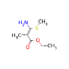 CCOC(=O)C(C)=C(N)SC